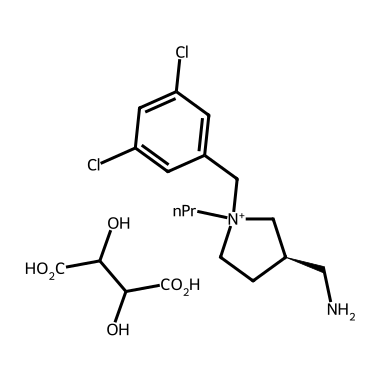 CCC[N+]1(Cc2cc(Cl)cc(Cl)c2)CC[C@H](CN)C1.O=C(O)C(O)C(O)C(=O)O